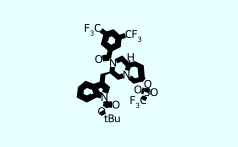 CC(C)(C)OC(=O)n1cc(C[C@@H]2CN3CC(OS(=O)(=O)C(F)(F)F)=CC[C@@H]3CN2C(=O)c2cc(C(F)(F)F)cc(C(F)(F)F)c2)c2ccccc21